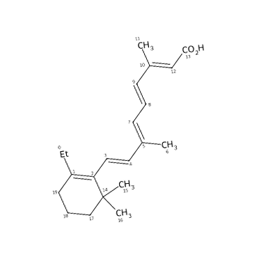 CCC1=C(C=CC(C)=CC=CC(C)=CC(=O)O)C(C)(C)CCC1